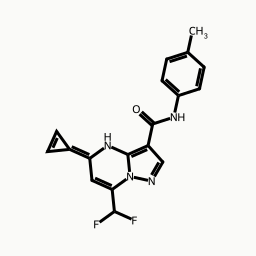 Cc1ccc(NC(=O)c2cnn3c2NC(=C2C=C2)C=C3C(F)F)cc1